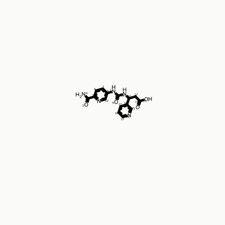 NC(=O)c1ccc(NC(=O)NC(CC(=O)O)c2cccnc2)cn1